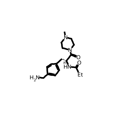 CCC(=O)N[C@H](Cc1ccc(CN)cc1)C(=O)N1CCN(C)CC1